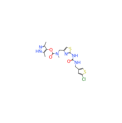 Cc1n[nH]c(C)c1OC(=O)N(C)Cc1csc(NC(=O)NCc2csc(Cl)c2)n1